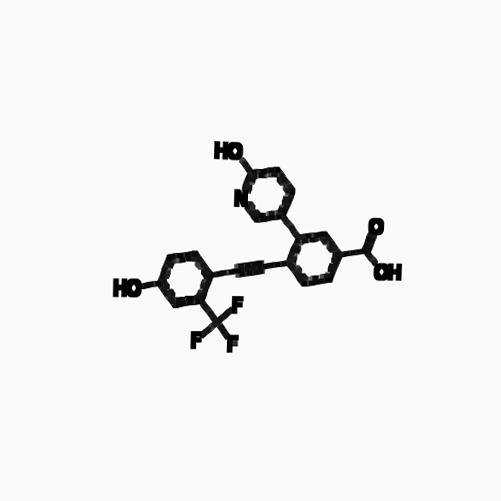 O=C(O)c1ccc(C#Cc2ccc(O)cc2C(F)(F)F)c(-c2ccc(O)nc2)c1